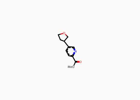 COC(=O)c1ccc(C2CCOC2)cn1